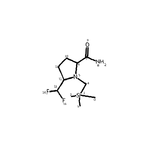 C[Si](C)(C)CN1C(C(N)=O)CCC1C(F)F